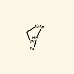 CC(C)CC(C)(C)C.[Br][Mg][Br]